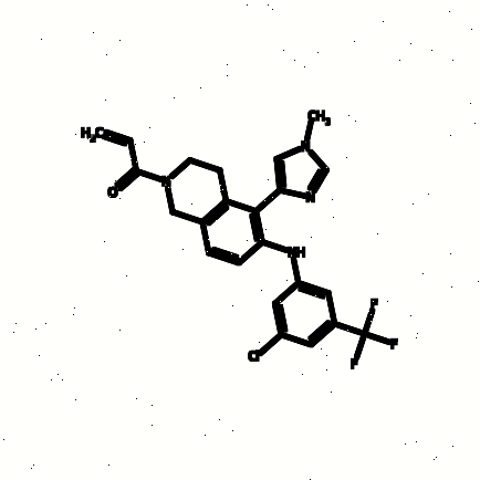 C=CC(=O)N1CCc2c(ccc(Nc3cc(Cl)cc(C(F)(F)F)c3)c2-c2cn(C)cn2)C1